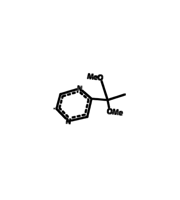 COC(C)(OC)c1cn[c]cn1